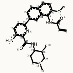 C=CC(=O)Nc1c(OC)ccc2ccc(-c3ccc(N)c(C(=O)N[C@@H]4CCN(C)C[C@@H]4F)n3)cc12